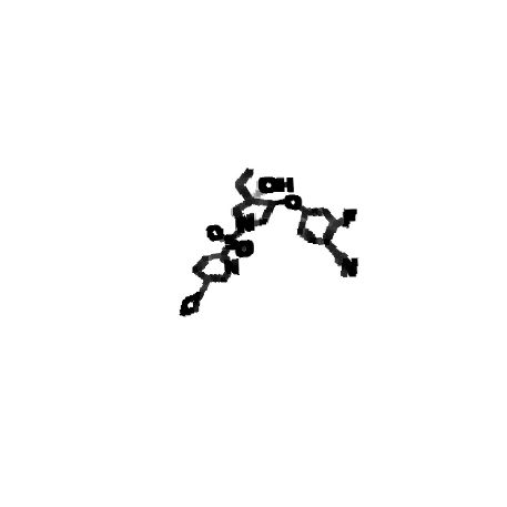 CC[C@]1(O)CN(S(=O)(=O)c2ccc(Cl)cn2)C[C@@H]1Oc1ccc(C#N)c(F)c1